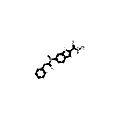 CN(C(=O)Cc1ccccc1)c1ccc2cc(C(=O)NO)sc2c1